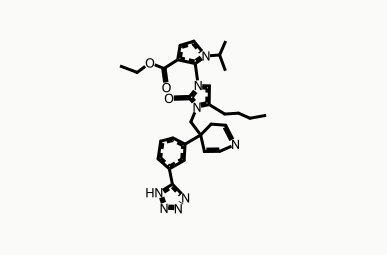 CCCCc1cn(-c2c(C(=O)OCC)ccn2C(C)C)c(=O)n1CC1(c2cccc(-c3nnn[nH]3)c2)C=CN=CC1